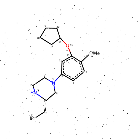 COc1ccc(N2CCN[C@@H](CC(C)C)C2)cc1OC1CCCC1